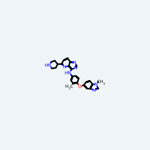 Cc1cc(Nc2ncnc3ccc(C4CCNCC4)nc23)ccc1Oc1ccc2c(c1)ncn2C